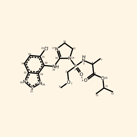 COCP(=O)(NC(C)C(=O)OC(C)C)N1CCN=C1Nc1c(Cl)ccc2nsnc12